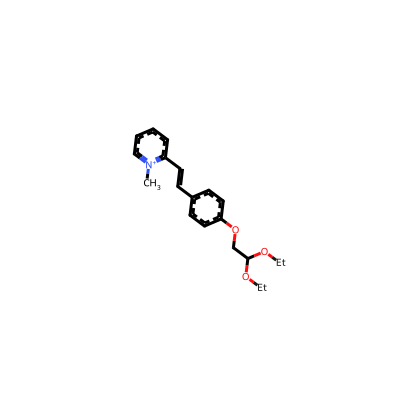 CCOC(COc1ccc(C=Cc2cccc[n+]2C)cc1)OCC